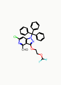 O=Cc1nc(Cl)cc2c1c(OCCOC(F)F)nn2C(c1ccccc1)(c1ccccc1)c1ccccc1